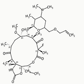 C=CCOCC1CC(N(C)C)C(C)[C@H](O[C@@H]2[C@@H](C)C(=O)[C@](C)(F)C(=O)O[C@H](CC)[C@@]3(C)OC(=O)N[C@@H]3[C@@H](C)C(=O)[C@H](C)C[C@@]2(C)OC)O1